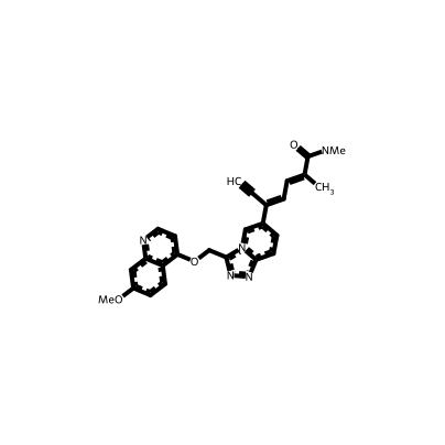 C#C/C(=C\C=C(/C)C(=O)NC)c1ccc2nnc(COc3ccnc4cc(OC)ccc34)n2c1